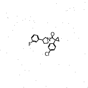 O=C(N1CCC(c2cccc(F)c2)C1)C1(c2ccc(Cl)cc2)CC1